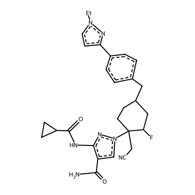 CCn1ccc(-c2ccc(CC3CCC(CC#N)(n4cc(C(N)=O)c(NC(=O)C5CC5)n4)C(F)C3)cc2)n1